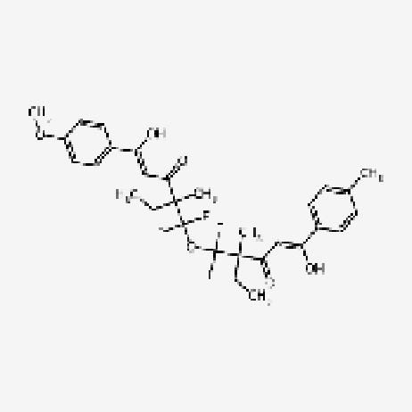 CCC(C)(C(=O)/C=C(\O)c1ccc(C)cc1)C(F)(F)OC(F)(F)C(C)(CC)C(=O)/C=C(\O)c1ccc(OC)cc1